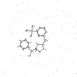 FC(F)(F)c1cccc(OC2CCN(C(I)c3ccccc3)C2)c1